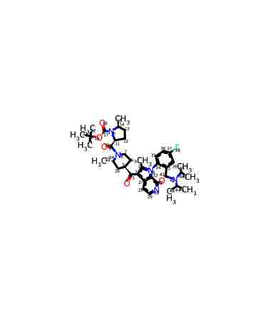 Cc1c(C(=O)[C@@H]2CCN(C(=O)[C@@H]3CC[C@H](C)N3C(=O)OC(C)(C)C)[C@@H](C)C2)c2ccncc2n1-c1ccc(F)cc1C(=O)N(C(C)C)C(C)C